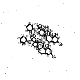 C[C@H]1C[C@H]2[C@@H]3CCC4=CC(=O)C=C[C@]4(C)C3=CC[C@]2(C)[C@@]1(O)C1(Oc2ccccc2)CO1.C[C@H]1C[C@H]2[C@@H]3CCC4=CC(=O)CC[C@]4(C)C3=CC[C@]2(C)[C@@]1(O)C1(Oc2ccccc2)CO1